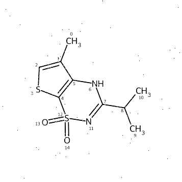 Cc1csc2c1NC(C(C)C)=NS2(=O)=O